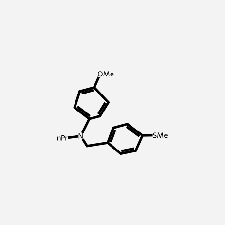 CCCN(Cc1ccc(SC)cc1)c1ccc(OC)cc1